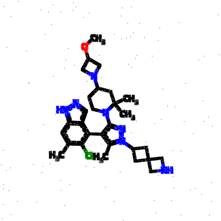 COC1CN(C2CCN(c3nn(C4CC5(CNC5)C4)c(C)c3-c3c(Cl)c(C)cc4[nH]ncc34)C(C)(C)C2)C1